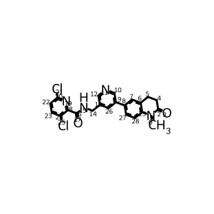 CN1C(=O)CCc2cc(-c3cncc(CNC(=O)c4nc(Cl)ccc4Cl)c3)ccc21